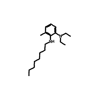 CCCCCCCCNc1c(C)cccc1N(CC)CC